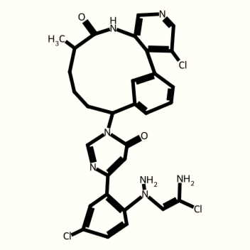 CC1CCCC(n2cnc(-c3cc(Cl)ccc3N(N)/C=C(\N)Cl)cc2=O)c2cccc(c2)-c2c(Cl)cncc2NC1=O